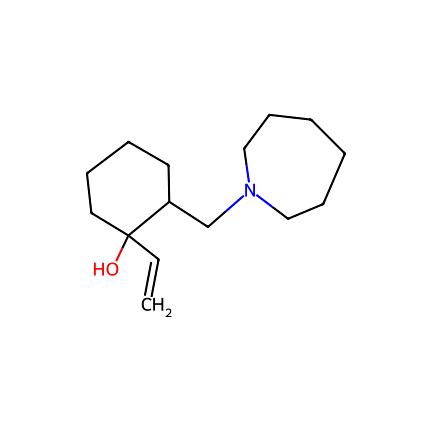 C=CC1(O)CCCCC1CN1CCCCCC1